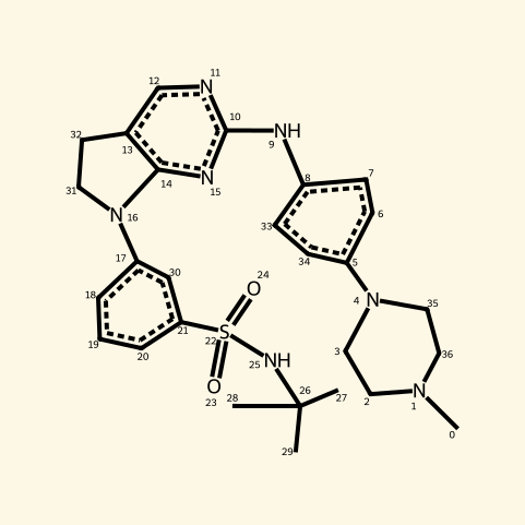 CN1CCN(c2ccc(Nc3ncc4c(n3)N(c3cccc(S(=O)(=O)NC(C)(C)C)c3)CC4)cc2)CC1